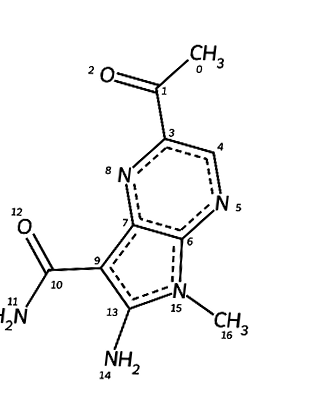 CC(=O)c1cnc2c(n1)c(C(N)=O)c(N)n2C